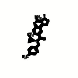 C[C@H]1OCc2c1c(N)nc1ccc(C(=O)N(Cc3ccc(C(F)(F)F)cn3)[C@@H]3C[C@H]3C(F)(F)F)cc21